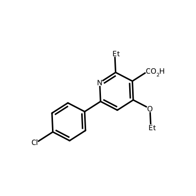 CCOc1cc(-c2ccc(Cl)cc2)nc(CC)c1C(=O)O